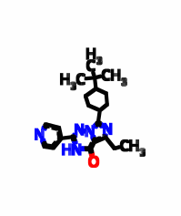 CCc1nc(C2CCC(C(C)(C)C)CC2)n2nc(-c3ccncc3)[nH]c(=O)c12